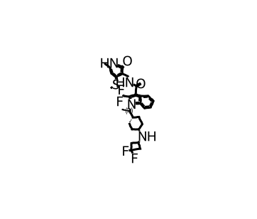 CSc1cc(C)[nH]c(=O)c1CNC(=O)c1c(C(F)F)n([C@H](C)[C@H]2CC[C@H](NC3CC(F)(F)C3)CC2)c2ccccc12